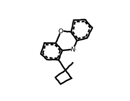 CC1(c2cccc3c2[N]c2ccccc2O3)CCC1